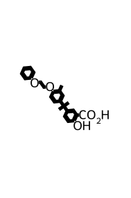 Cc1cc(C(C)(C)c2ccc(O)c(C(=O)O)c2)ccc1OCCOc1ccccc1